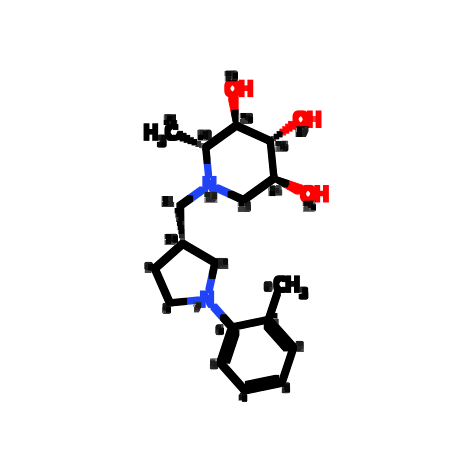 Cc1ccccc1N1CC[C@H](CN2C[C@H](O)[C@@H](O)[C@H](O)[C@H]2C)C1